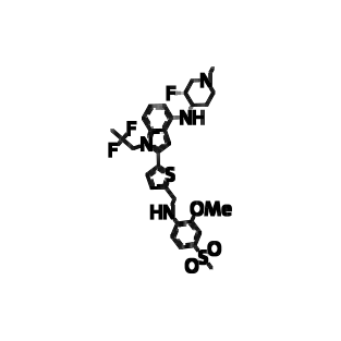 COc1cc(S(C)(=O)=O)ccc1NCc1ccc(-c2cc3c(N[C@H]4CCN(C)C[C@H]4F)cccc3n2CC(C)(F)F)s1